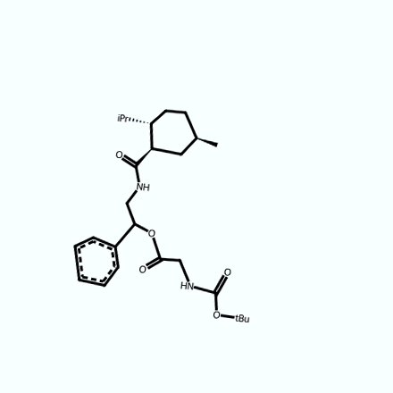 CC(C)[C@@H]1CC[C@@H](C)C[C@H]1C(=O)NCC(OC(=O)CNC(=O)OC(C)(C)C)c1ccccc1